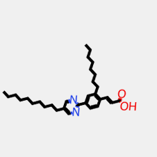 CCCCCCCCCCc1cnc(-c2ccc(C=CC(=O)O)c(CCCCCCCC)c2)nc1